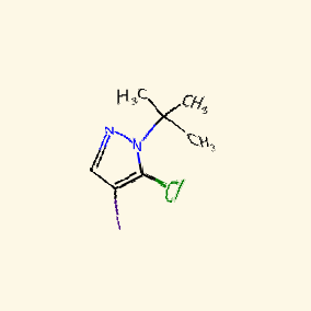 CC(C)(C)n1ncc(I)c1Cl